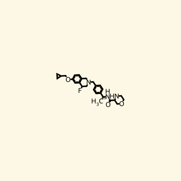 C[C@H](NC(=O)C1COCCN1)c1ccc(CN2Cc3ccc(OCC4CC4)cc3C(F)C2)cc1